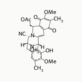 COC1=C(C)C(=O)C2=C(C1=O)[C@H](COC(C)=O)N1C(=C2)[C@@H]2c3c(cc(C)c(OC)c3O)C[C@H]([C@@H]1C#N)N2C